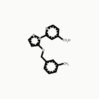 Cc1cccc(COc2ccnn2-c2cc(C(=O)O)ccn2)c1